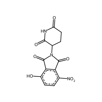 O=C1CCC(N2C(=O)c3c(O)ccc([N+](=O)[O-])c3C2=O)C(=O)N1